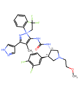 COCCN1C[C@@H](NC(=O)NC2=C(C)C(c3cn[nH]c3)=N[N+]2(CC(F)(F)F)c2ccccc2)[C@H](c2ccc(F)c(F)c2)C1